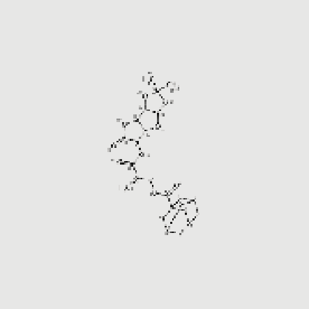 C=C(COC(=O)C12CC3CC(CC(C3)C1)C2)C(=O)OC1C(=O)OC2C3OC(C)(C)OC3OC12